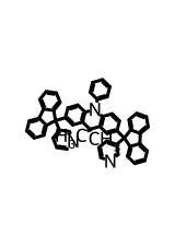 CC1(C)c2cc(C3(c4cccnc4)c4ccccc4-c4ccccc43)ccc2N(c2ccccc2)c2ccc(C3(c4cccnc4)c4ccccc4-c4ccccc43)cc21